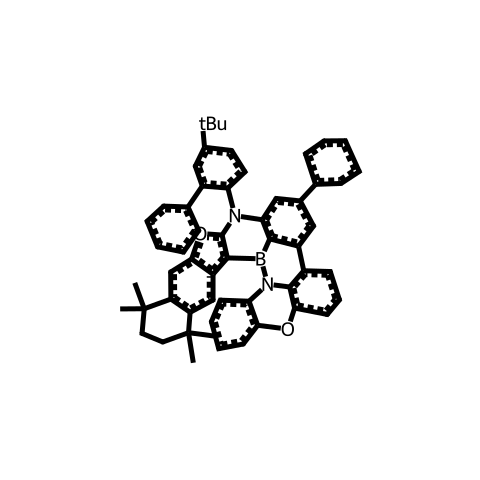 CC(C)(C)c1ccc(N2c3cc(-c4ccccc4)cc4c3B(c3c2oc2cc5c(cc32)C(C)(C)CCC5(C)C)N2c3ccccc3Oc3cccc-4c32)c(-c2ccccc2)c1